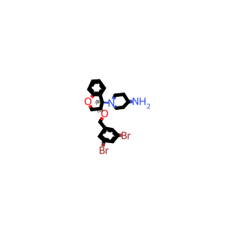 NC1CCN([C@@H]2c3ccccc3OC[C@H]2OCc2cc(Br)cc(Br)c2)CC1